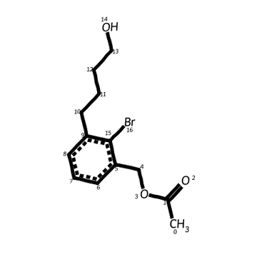 CC(=O)OCc1cccc(CCCCO)c1Br